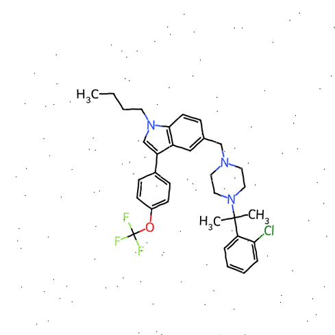 CCCCn1cc(-c2ccc(OC(F)(F)F)cc2)c2cc(CN3CCN(C(C)(C)c4ccccc4Cl)CC3)ccc21